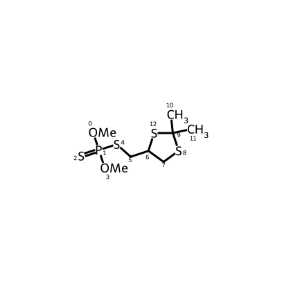 COP(=S)(OC)SCC1CSC(C)(C)S1